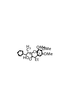 CC[C@@H](C(=O)N(C)[C@@H](C)[C@@H](O)c1ccccc1)c1cc(OC)c(OC)c(OC)c1